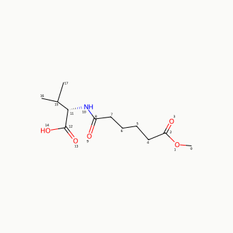 COC(=O)CCCCC(=O)N[C@H](C(=O)O)C(C)C